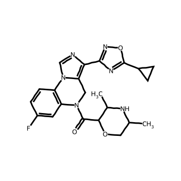 CC1COC(C(=O)N2Cc3c(-c4noc(C5CC5)n4)ncn3-c3ccc(F)cc32)C(C)N1